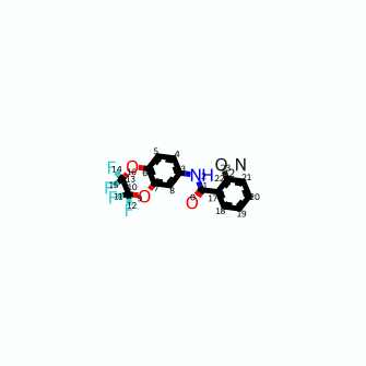 O=C(Nc1ccc2c(c1)OC(F)(F)C(F)(F)O2)c1ccccc1[N+](=O)[O-]